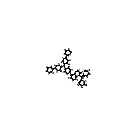 c1ccc(-c2ccc(N(c3ccc(-c4ccccc4)cc3)c3ccc(-c4cccc5c4ccc4c5c(-c5ccccc5)c5ccccn54)cc3)cc2)cc1